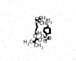 C=C(C)C(=O)ONCCC[N+](C)(C)C.Cc1ccc(S(=O)(=O)[O-])cc1